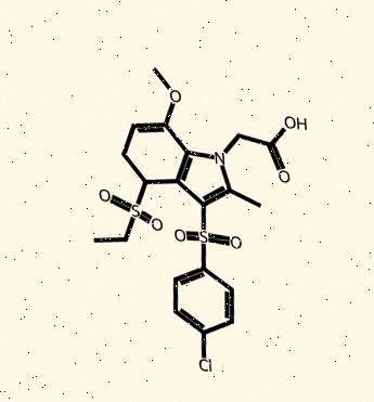 CCS(=O)(=O)C1CC=C(OC)c2c1c(S(=O)(=O)c1ccc(Cl)cc1)c(C)n2CC(=O)O